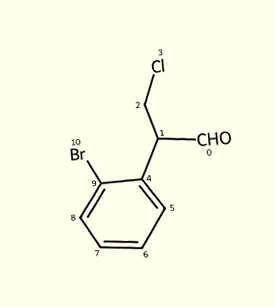 O=CC(CCl)c1ccccc1Br